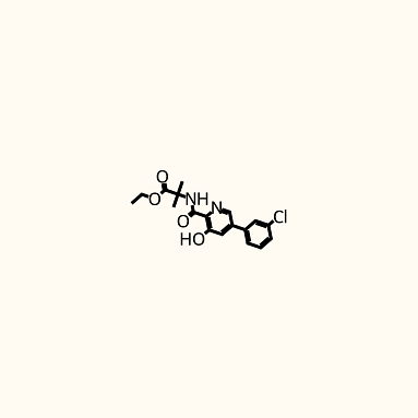 CCOC(=O)C(C)(C)NC(=O)c1ncc(-c2cccc(Cl)c2)cc1O